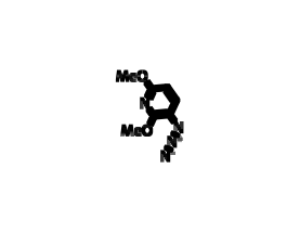 COc1ccc(N=[N+]=[N-])c(OC)n1